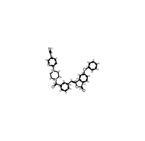 N#Cc1ccc(N2CCN(C(=O)c3cccc(C=C4OC(=O)c5ccc(Oc6ccccc6)cc54)c3)CC2)nc1